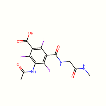 CNC(=O)CNC(=O)c1c(I)c(NC(C)=O)c(I)c(C(=O)O)c1I